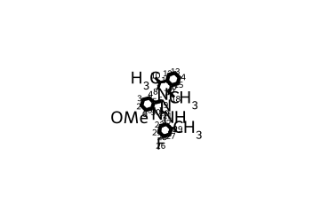 COc1cccc2c(N3CC(C)c4ccccc4C3C)nc(Nc3ccc(F)cc3C)nc12